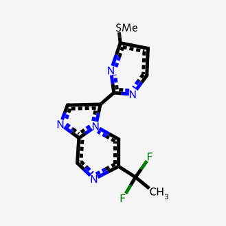 CSc1ccnc(-c2cnc3cnc(C(C)(F)F)cn23)n1